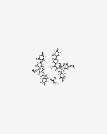 CC(c1ccc(-c2ccc(F)cc2F)cc1)N1CCC(CC(O)CN(C)C)(c2ccc(F)cc2)OC1=O.CC(c1ccc(-c2ccc(F)cc2F)cc1)N1CCC(CCCOC(N)=O)(c2ccc(F)cc2)OC1=O